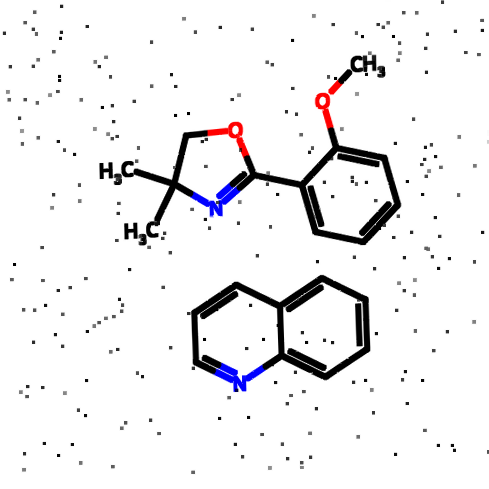 COc1ccccc1C1=NC(C)(C)CO1.c1ccc2ncccc2c1